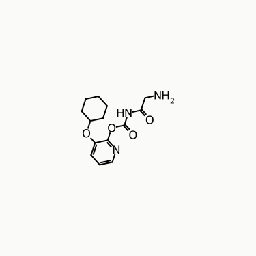 NCC(=O)NC(=O)Oc1ncccc1OC1CCCCC1